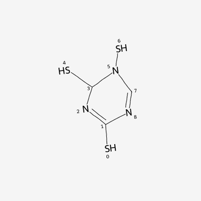 SC1=NC(S)N(S)C=N1